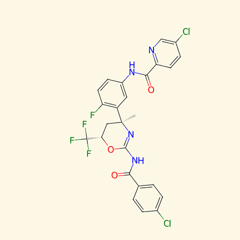 C[C@@]1(c2cc(NC(=O)c3ccc(Cl)cn3)ccc2F)C[C@@H](C(F)(F)F)OC(NC(=O)c2ccc(Cl)cc2)=N1